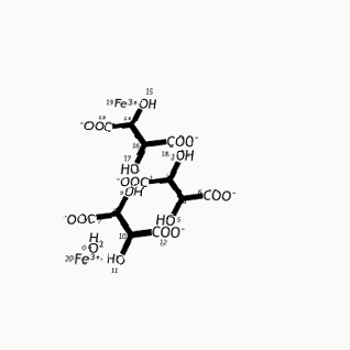 O.O=C([O-])C(O)C(O)C(=O)[O-].O=C([O-])C(O)C(O)C(=O)[O-].O=C([O-])C(O)C(O)C(=O)[O-].[Fe+3].[Fe+3]